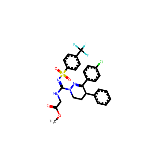 COC(=O)CN/C(=N/S(=O)(=O)c1ccc(C(F)(F)F)cc1)N1CCC(c2ccccc2)C(c2ccc(Cl)cc2)=N1